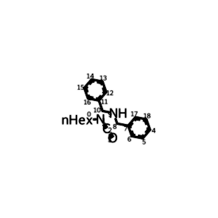 CCCCCCN=C=O.c1ccc(CNCc2ccccc2)cc1